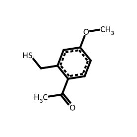 COc1ccc(C(C)=O)c(CS)c1